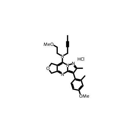 CC#CCN(CCOC)c1c2c(nc3c(-c4ccc(OC)cc4C)c(C)nn13)COC2.Cl